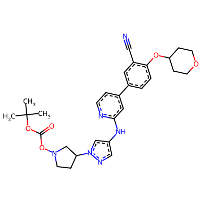 CC(C)(C)OC(=O)ON1CCC(n2cc(Nc3cc(-c4ccc(OC5CCOCC5)c(C#N)c4)ccn3)cn2)C1